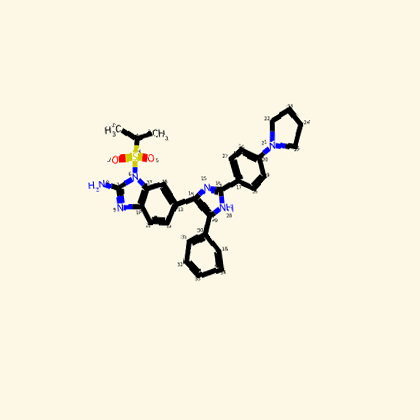 CC(C)S(=O)(=O)n1c(N)nc2ccc(-c3nc(-c4ccc(N5CCCC5)cc4)[nH]c3-c3ccccc3)cc21